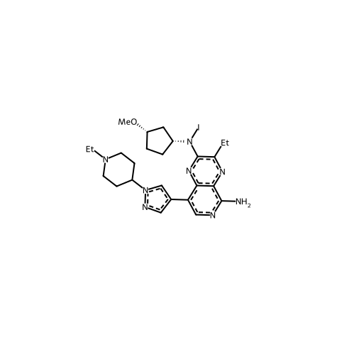 CCc1nc2c(N)ncc(-c3cnn(C4CCN(CC)CC4)c3)c2nc1N(I)[C@@H]1CC[C@H](OC)C1